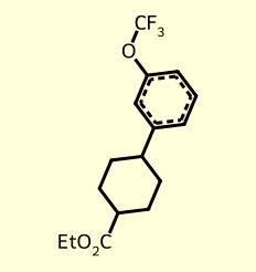 CCOC(=O)C1CCC(c2cccc(OC(F)(F)F)c2)CC1